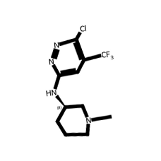 CN1CCC[C@@H](Nc2cc(C(F)(F)F)c(Cl)nn2)C1